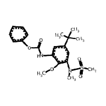 COc1c(NC(=O)Oc2ccccc2)cc(C(C)(C)C)cc1N(C)S(C)(=O)=O